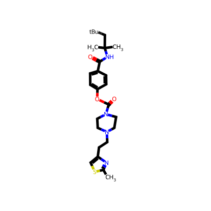 Cc1nc(CCN2CCN(C(=O)Oc3ccc(C(=O)NC(C)(C)CC(C)(C)C)cc3)CC2)cs1